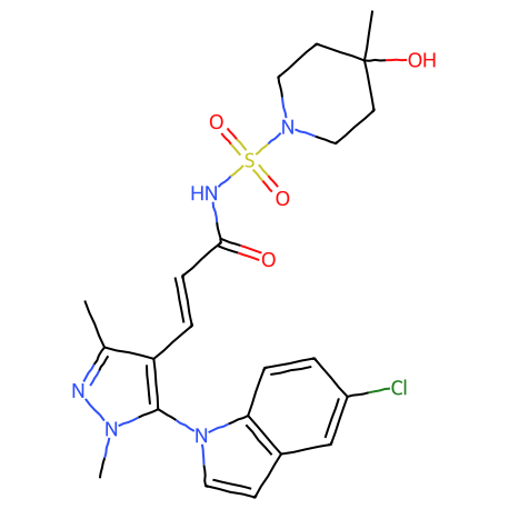 Cc1nn(C)c(-n2ccc3cc(Cl)ccc32)c1C=CC(=O)NS(=O)(=O)N1CCC(C)(O)CC1